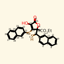 CCOC(=O)C1(C(S)c2ccc3ccccc3c2)OC(=O)C(O)=C1Sc1ccc2ccccc2c1